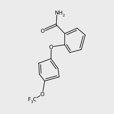 NC(=O)c1ccccc1Oc1ccc(OC(F)(F)F)cc1